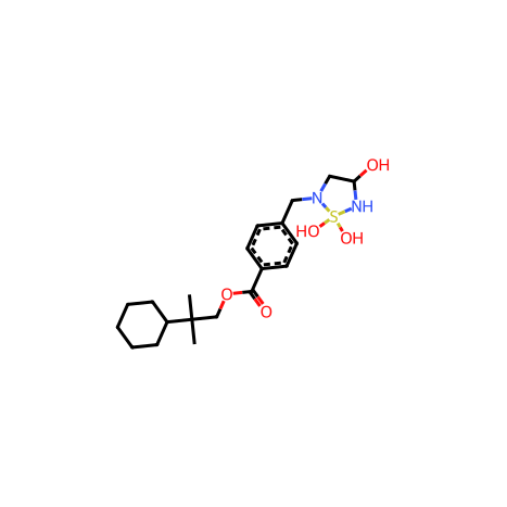 CC(C)(COC(=O)c1ccc(CN2CC(O)NS2(O)O)cc1)C1CCCCC1